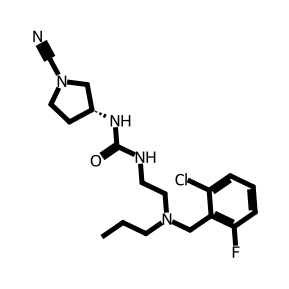 CCCN(CCNC(=O)N[C@@H]1CCN(C#N)C1)Cc1c(F)cccc1Cl